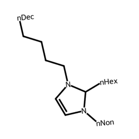 CCCCCCCCCCCCCCN1C=CN(CCCCCCCCC)C1CCCCCC